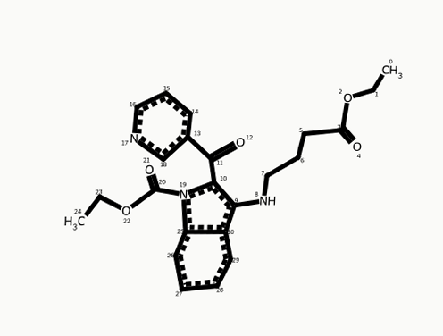 CCOC(=O)CCCNc1c(C(=O)c2cccnc2)n(C(=O)OCC)c2ccccc12